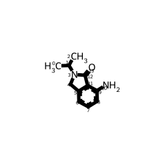 CC(C)N1Cc2cccc(N)c2C1=O